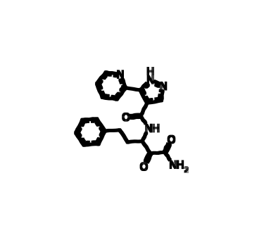 NC(=O)C(=O)C(CCc1ccccc1)NC(=O)c1cn[nH]c1-c1ccccn1